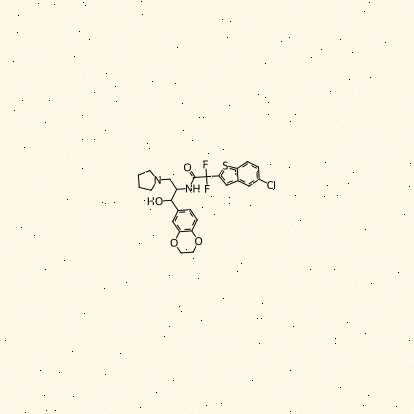 O=C(NC(CN1CCCC1)C(O)c1ccc2c(c1)OCCO2)C(F)(F)c1cc2cc(Cl)ccc2s1